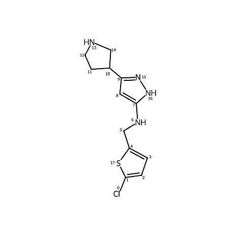 Clc1ccc(CNc2cc(C3CCNC3)n[nH]2)s1